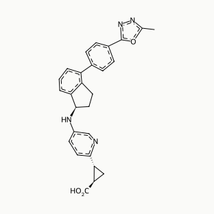 Cc1nnc(-c2ccc(-c3cccc4c3CC[C@H]4Nc3ccc([C@@H]4C[C@H]4C(=O)O)nc3)cc2)o1